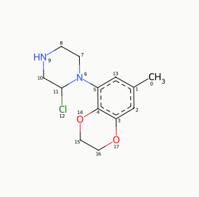 Cc1cc2c(c(N3CCNCC3Cl)c1)OCCO2